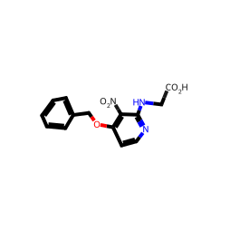 O=C(O)CNc1nccc(OCc2ccccc2)c1[N+](=O)[O-]